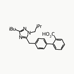 CCC(C)c1nc(Cc2ccc(-c3ccccc3C(=O)O)cc2)n(CC(C)C)n1